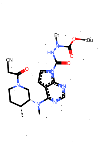 CCN(NC(=O)n1ccc2c(N(C)[C@H]3CN(C(=O)CC#N)CC[C@H]3C)ncnc21)C(=O)OC(C)(C)C